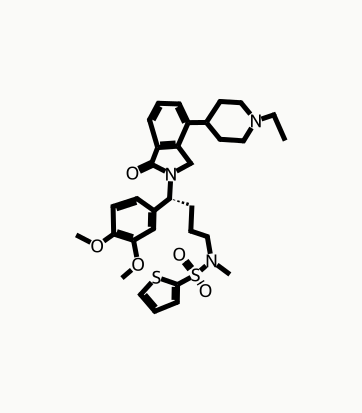 CCN1CCC(c2cccc3c2CN([C@H](CCCN(C)S(=O)(=O)c2cccs2)c2ccc(OC)c(OC)c2)C3=O)CC1